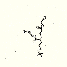 CC(C)(C)SSCCN(CCCC(=O)OCC#N)C(=O)OCN=[N+]=[N-]